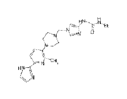 CCNC(=O)Nc1cn(CN2CCN(c3ccc(-c4ncc[nH]4)nc3C)CC2)cn1